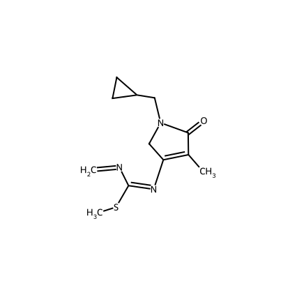 C=N/C(=N\C1=C(C)C(=O)N(CC2CC2)C1)SC